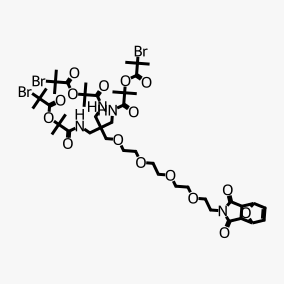 CC(C)(Br)C(=O)OC(C)(C)C(=O)NCC(CNC(=O)C(C)(C)OC(=O)C(C)(C)Br)(CNC(=O)C(C)(C)OC(=O)C(C)(C)Br)COCCOCCOCCOCCN1C(=O)C2C3C=CC(O3)C2C1=O